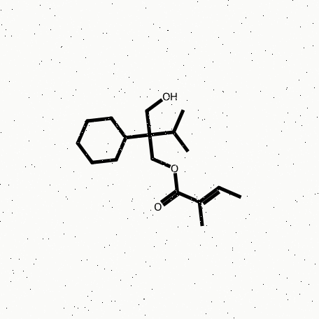 CC=C(C)C(=O)OCC(CO)(C(C)C)C1CCCCC1